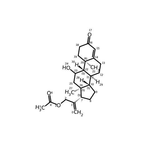 C=C(COC(C)=O)[C@H]1CC[C@H]2[C@@H]3CCC4=CC(=O)CC[C@]4(C)[C@H]3C(O)C[C@]12C